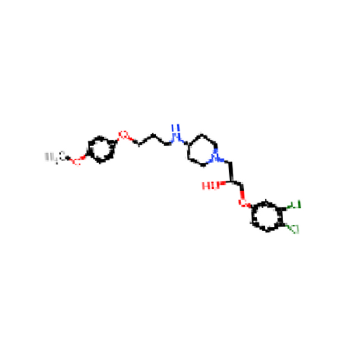 COc1ccc(OCCCNC2CCN(C[C@H](O)COc3ccc(Cl)c(Cl)c3)CC2)cc1